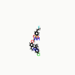 O=S(=O)(NCCOc1ccc2c(c1)C(C1(c3ccc(Cl)cc3)CCC1)NCC2)c1ccc(CCF)cc1